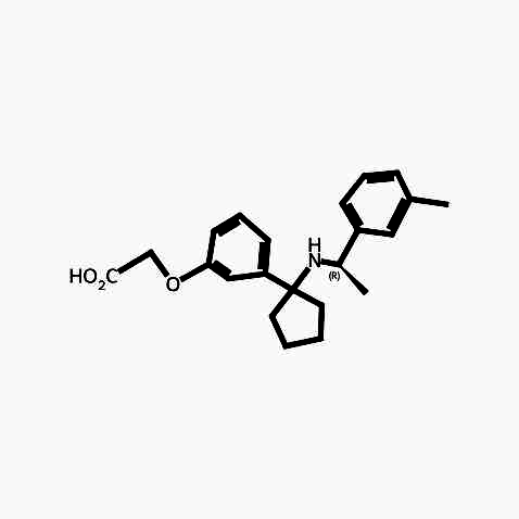 Cc1cccc([C@@H](C)NC2(c3cccc(OCC(=O)O)c3)CCCC2)c1